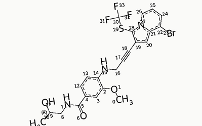 COc1cc(C(=O)NC[C@@H](C)O)ccc1NCC#Cc1cc2c(Br)cccn2c1SC(F)(F)F